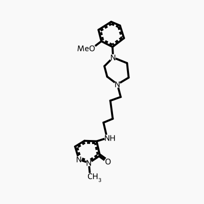 COc1ccccc1N1CCN(CCCCNc2ccnn(C)c2=O)CC1